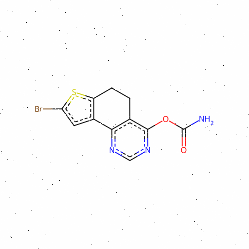 NC(=O)Oc1ncnc2c1CCc1sc(Br)cc1-2